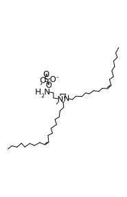 CCCCCCCC/C=C\CCCCCCCCC1N(CCCCCCCC/C=C\CCCCCCCC)CC[N+]1(C)CCN.COS(=O)(=O)[O-]